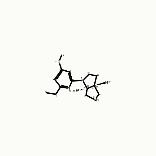 CCc1cc(OC)cc(N2CC[C@@H]3CNC[C@H]32)n1